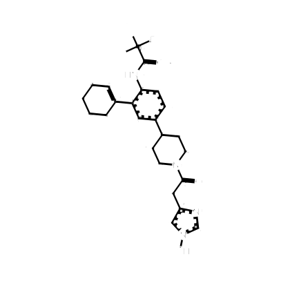 Cn1cnc(CC(=O)N2CCC(c3ccc(NC(=O)C(F)(F)F)c(C4=CCCCC4)c3)CC2)c1